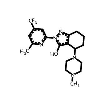 Cc1cc(C(F)(F)F)cc(-n2nc3c(c2O)C(N2CCN(C)CC2)CCC3)n1